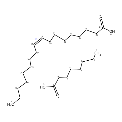 CCCCCCCC(=O)O.CCCCCCCC/C=C\CCCCCCCC(=O)O